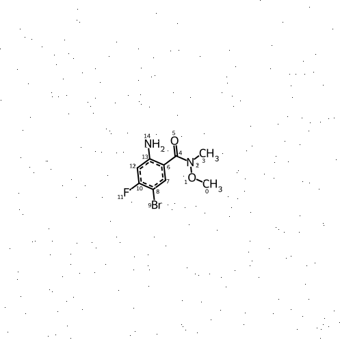 CON(C)C(=O)c1cc(Br)c(F)cc1N